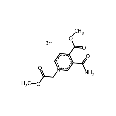 COC(=O)C[n+]1ccc(C(=O)OC)c(C(N)=O)c1.[Br-]